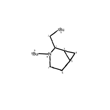 CC(C)(C)CC1C2CC2CCN1C(C)(C)C